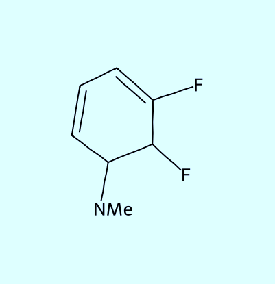 CNC1C=CC=C(F)C1F